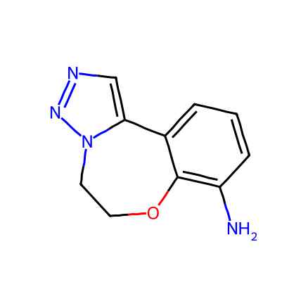 Nc1cccc2c1OCCn1nncc1-2